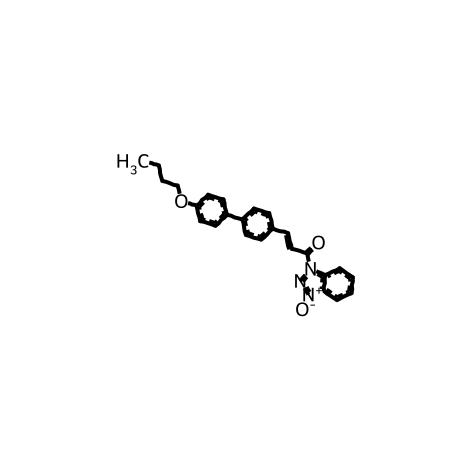 CCCCOc1ccc(-c2ccc(C=CC(=O)n3n[n+]([O-])c4ccccc43)cc2)cc1